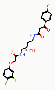 O=C(COc1ccc(Cl)c(F)c1)NC[C@@H](O)CCNC(=O)CC(=O)c1ccc(Cl)cc1